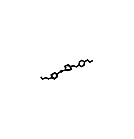 CCCCc1ccc(C#Cc2ccc(CCC3CCC(CCC)CC3)cc2)cc1